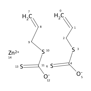 C=CCSC([O-])=S.C=CCSC([O-])=S.[Zn+2]